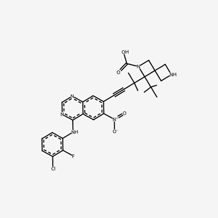 CC(C)(C)C1(C(C)(C)C#Cc2cc3ncnc(Nc4cccc(Cl)c4F)c3cc2[N+](=O)[O-])N(C(=O)O)CC12CNC2